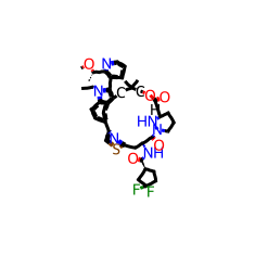 CCn1c(-c2cccnc2[C@H](C)OC)c2c3cc(ccc31)-c1csc(n1)C[C@H](NC(=O)[C@H]1CCC(F)(F)C1)C(=O)N1CCC[C@H](N1)C(=O)OCC(C)(C)C2